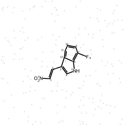 O=[N+]([O-])/C=C/c1c[nH]c2c(F)cccc12